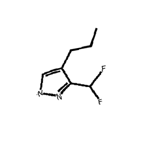 CCCC1=C[N]N=C1C(F)F